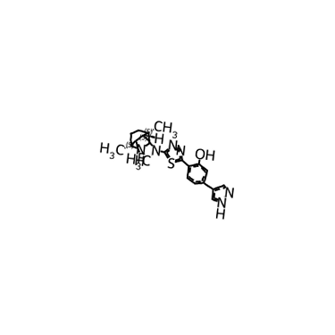 CN(c1nnc(-c2ccc(-c3cn[nH]c3)cc2O)s1)[C@@H]1C(F)[C@]2(C)CC[C@@]1(C)CN2